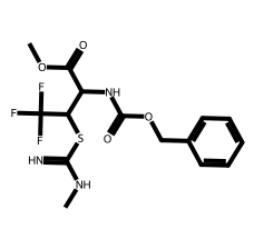 CNC(=N)SC(C(NC(=O)OCc1ccccc1)C(=O)OC)C(F)(F)F